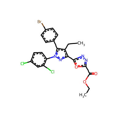 CCOC(=O)c1nnc(-c2nn(-c3ccc(Cl)cc3Cl)c(-c3ccc(Br)cc3)c2CC)o1